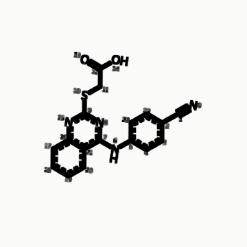 N#Cc1ccc(Nc2nc(SCC(=O)O)nc3ccccc23)cc1